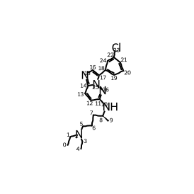 CCN(CC)CCC[C@H](C)Nc1ccc2ncc(-c3cccc(Cl)c3)n2n1